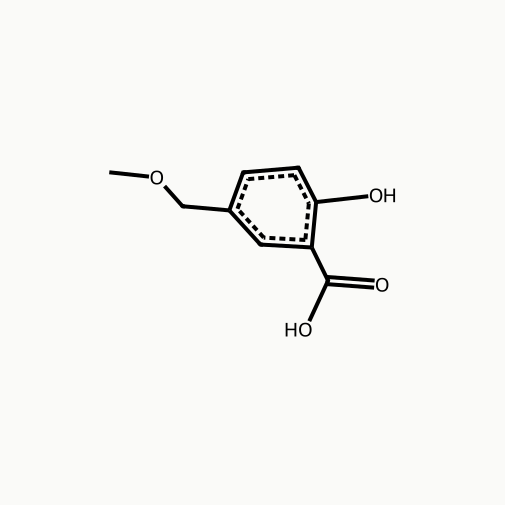 COCc1ccc(O)c(C(=O)O)c1